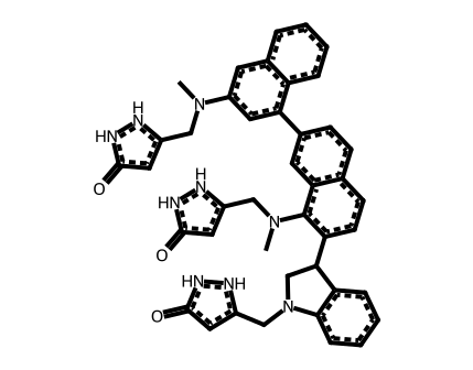 CN(Cc1cc(=O)[nH][nH]1)c1cc(-c2ccc3ccc(C4CN(Cc5cc(=O)[nH][nH]5)c5ccccc54)c(N(C)Cc4cc(=O)[nH][nH]4)c3c2)c2ccccc2c1